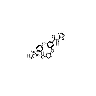 CS(=O)(=O)c1ccc(Oc2cc(OC3CCC(O)C3)cc(C(=O)Nc3nccs3)c2)cc1